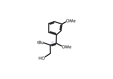 CO/C(=C(\CO)C(C)(C)C)c1cccc(OC)c1